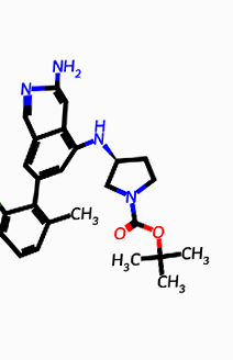 Cc1cccc(F)c1-c1cc(N[C@H]2CCN(C(=O)OC(C)(C)C)C2)c2cc(N)ncc2c1